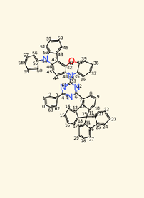 c1ccc(-c2nc(-c3cccc4c3-c3ccccc3C43c4ccccc4-c4ccccc43)nc(N3c4ccccc4Oc4c3ccc3c4c4ccccc4n3-c3ccccc3)n2)cc1